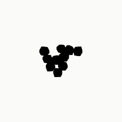 c1ccc(-c2cccc(N(c3ccc(-c4cc(-c5ccccc5)ccc4-c4ccccc4)cc3)c3ccc(-c4cc(-c5ccccc5)ccc4-c4ccccc4)cc3)c2)cc1